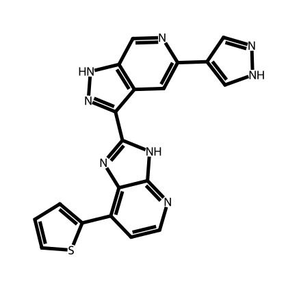 c1csc(-c2ccnc3[nH]c(-c4n[nH]c5cnc(-c6cn[nH]c6)cc45)nc23)c1